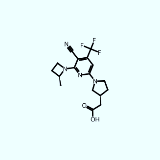 C[C@H]1CCN1c1nc(N2CC[C@@H](CC(=O)O)C2)cc(C(F)(F)F)c1C#N